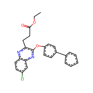 CCOC(=O)CCc1nc2ccc(Cl)cc2nc1Oc1ccc(-c2ccccc2)cc1